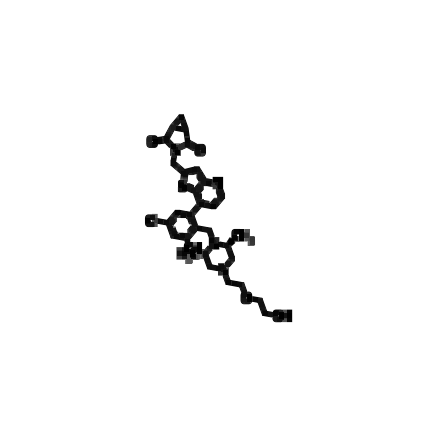 Cc1cc(Cl)cc(-c2ccnc3cc(CN4C(=O)C5CC5C4=O)sc23)c1CN1[C@@H](C)CN(CCOCCO)C[C@@H]1C